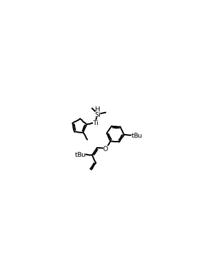 C=CC(=COc1cccc(C(C)(C)C)c1)C(C)(C)C.CC1=[C]([Ti][SiH](C)C)CC=C1